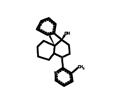 Cc1cccnc1N1CC[C@@](O)(c2ccccc2)[C@@H]2CCCCC21